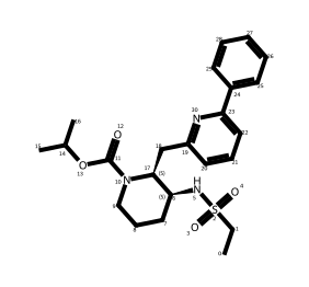 CCS(=O)(=O)N[C@H]1CCCN(C(=O)OC(C)C)[C@H]1Cc1cccc(-c2ccccc2)n1